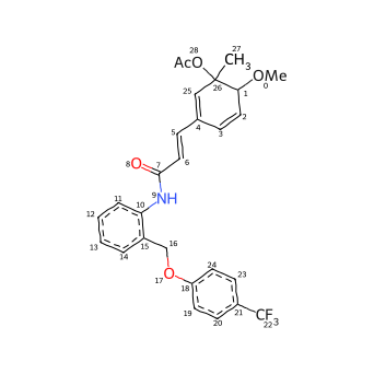 COC1C=CC(/C=C/C(=O)Nc2ccccc2COc2ccc(C(F)(F)F)cc2)=CC1(C)OC(C)=O